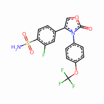 NS(=O)(=O)c1ccc(-c2coc(=O)n2-c2ccc(OC(F)(F)F)cc2)cc1F